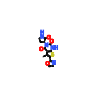 Cc1c(-c2ncco2)sc2[nH]c(=O)n([C@@H]3CCNC3=O)c(=O)c12